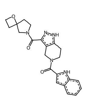 O=C(c1cc2ccccc2[nH]1)N1CCc2[nH]nc(C(=O)N3CCC4(CCO4)C3)c2C1